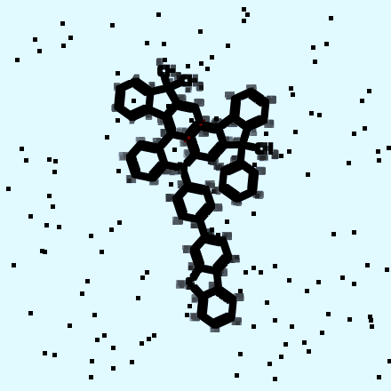 CC1(C)c2ccccc2-c2c(-c3ccccc3N(c3ccc(-c4ccc5c(c4)sc4ccccc45)cc3)c3ccc4c(c3)C(C)(c3ccccc3)c3ccccc3-4)cccc21